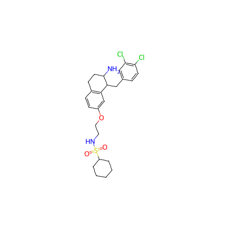 NC1CCc2ccc(OCCNS(=O)(=O)C3CCCCC3)cc2C1Cc1ccc(Cl)c(Cl)c1